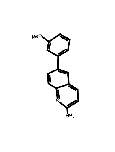 COc1cccc(-c2ccc3nc(N)ccc3c2)c1